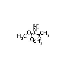 COP(OC)C(=[N+]=[N-])C(C)=O